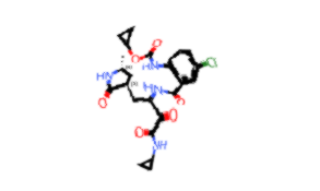 C[C@@H]1C[C@@H](CC(NC(=O)c2cc(Cl)ccc2NC(=O)OC2CC2)C(=O)C(=O)NC2CC2)C(=O)N1